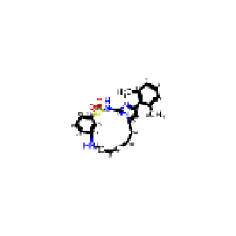 Cc1cccc(C)c1-c1cc2nc(n1)NS(=O)(=O)c1cccc(c1)NCCCCC2